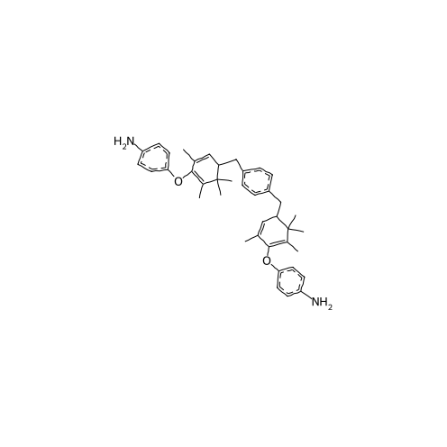 CC1=CC(Cc2ccc(CC3C=C(C)C(Oc4ccc(N)cc4)=C(C)C3(C)C)cc2)C(C)(C)C(C)=C1Oc1ccc(N)cc1